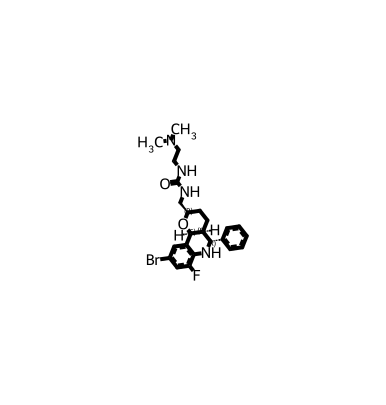 CN(C)CCNC(=O)NC[C@H]1CC[C@@H]2[C@H](O1)c1cc(Br)cc(F)c1N[C@H]2c1ccccc1